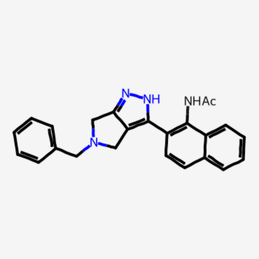 CC(=O)Nc1c(-c2[nH]nc3c2CN(Cc2ccccc2)C3)ccc2ccccc12